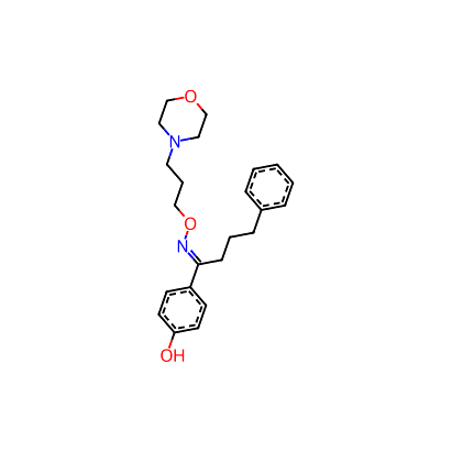 Oc1ccc(C(CCCc2ccccc2)=NOCCCN2CCOCC2)cc1